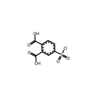 O=C(O)c1ccc(S(=O)(=O)Cl)cc1C(=O)O